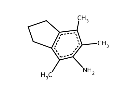 Cc1c(C)c2c(c(C)c1N)CCC2